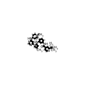 Cc1cc(Nc2cc(NC(=O)c3ccnc(C(C)(C)C)c3)ccc2C)n(-c2cc(NN3CCN(C)CC3)ncn2)n1